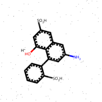 Nc1cc(-c2ccccc2S(=O)(=O)O)c2c(O)cc(S(=O)(=O)O)cc2c1.[H+]